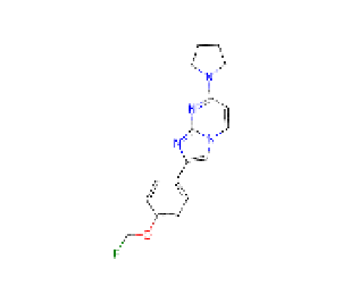 FCOc1ccc(-c2cn3ccc(N4CCCC4)nc3n2)cc1